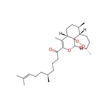 CC(C)=CCC[C@H](C)CCCC(=O)C1=C(C)[C@@H]2CC[C@@H](C)[C@@H]3CC[C@]4(C)OO[C@@]23[C@H](O1)O4